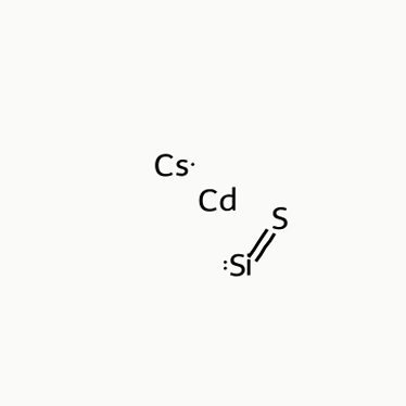 [Cd].[Cs].[Si]=S